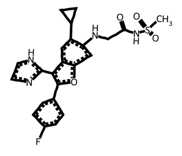 CS(=O)(=O)NC(=O)CNc1cc2oc(-c3ccc(F)cc3)c(-c3ncc[nH]3)c2cc1C1CC1